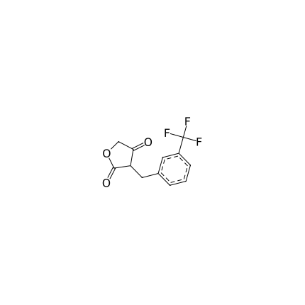 O=C1COC(=O)C1Cc1cccc(C(F)(F)F)c1